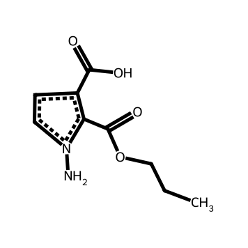 CCCOC(=O)c1c(C(=O)O)ccn1N